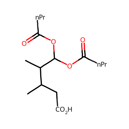 CCCC(=O)OC(OC(=O)CCC)C(C)C(C)CC(=O)O